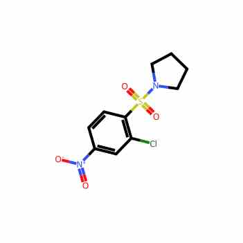 O=[N+]([O-])c1ccc(S(=O)(=O)N2CCCC2)c(Cl)c1